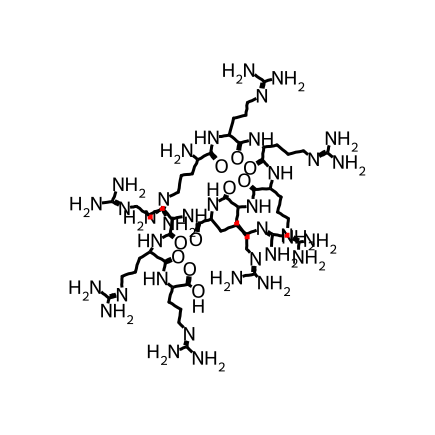 NC(N)=NCCCC(N)C(=O)NC(CCCN=C(N)N)C(=O)NC(CCCN=C(N)N)C(=O)NC(CCCN=C(N)N)C(=O)NC(CCCN=C(N)N)C(=O)NC(CCCN=C(N)N)C(=O)NC(CCCN=C(N)N)C(=O)NC(CCCN=C(N)N)C(=O)NC(CCCN=C(N)N)C(=O)O